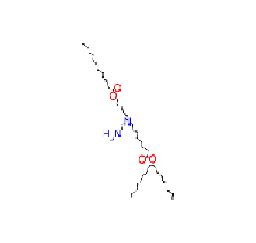 CCCCCCCCCCCC(=O)OCCCCCN(CCN)CCCCCCCC(=O)OC(CCCCCCCC)CCCCCCCC